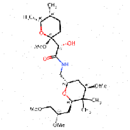 COC[C@H](C[C@H]1O[C@H](CNC(=O)[C@@H](O)[C@@]2(OC)CC[C@@H](C)[C@@H](C)O2)C[C@@H](OC)C1(C)C)OC